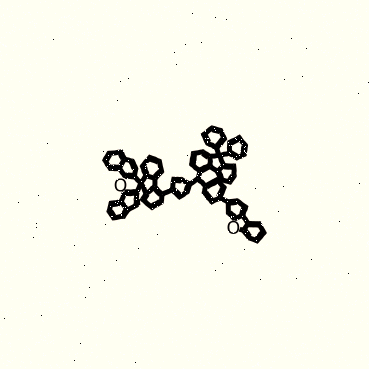 c1ccc(C2(c3ccccc3)c3ccccc3-c3c(C(c4ccc(-c5ccc6c(c5)oc5ccccc56)cc4)c4ccc(-c5cccc6c5-c5ccccc5C65c6ccc7ccccc7c6Oc6c5ccc5ccccc65)cc4)cccc32)cc1